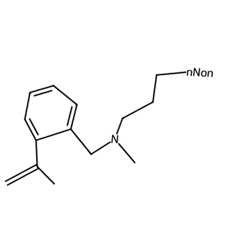 C=C(C)c1ccccc1CN(C)CCCCCCCCCCCC